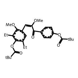 CCc1cc(C=C(OC)C(=O)c2ccc(OC(=O)C(C)(C)C)cc2)c(OC)c(CC)c1OC(=O)C(C)(C)C